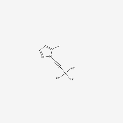 Cc1ccnn1C#C[Si](C(C)C)(C(C)C)C(C)C